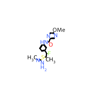 C/N=C(/N)S[C@H](C)[C@H](F)c1cccc(NC(=O)c2cnc(OC)cn2)c1